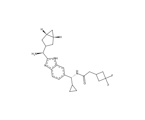 N[C@H](c1nc2ccc([C@H](NC(=O)CC3CC(F)(F)C3)C3CC3)cc2[nH]1)C1C[C@@H]2C[C@@H]2C1